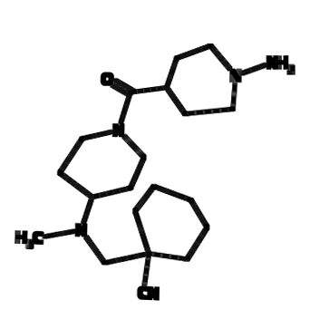 CN(CC1(C#N)CCCCC1)C1CCN(C(=O)C2CCN(N)CC2)CC1